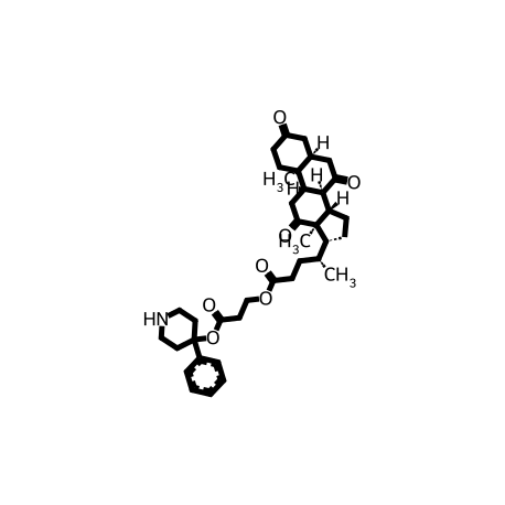 C[C@H](CCC(=O)OCCC(=O)OC1(c2ccccc2)CCNCC1)[C@H]1CC[C@H]2[C@@H]3C(=O)C[C@@H]4CC(=O)CC[C@]4(C)[C@H]3CC(=O)[C@]12C